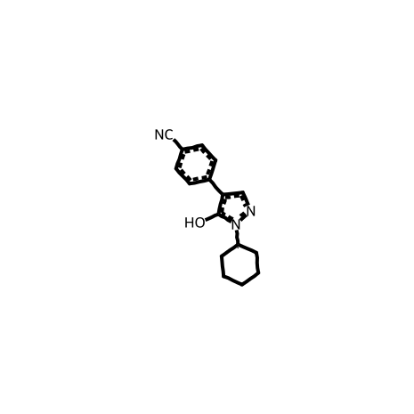 N#Cc1ccc(-c2cnn([C]3CCCCC3)c2O)cc1